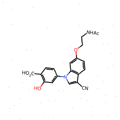 CC(=O)NCCOc1ccc2c(C#N)cn(-c3ccc(C(=O)O)c(O)c3)c2c1